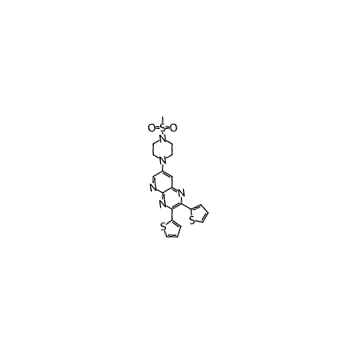 CS(=O)(=O)N1CCN(c2cnc3nc(-c4cccs4)c(-c4cccs4)nc3c2)CC1